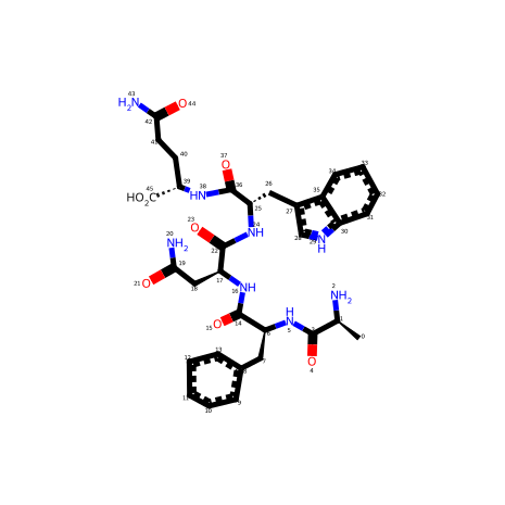 C[C@H](N)C(=O)N[C@@H](Cc1ccccc1)C(=O)N[C@@H](CC(N)=O)C(=O)N[C@@H](Cc1c[nH]c2ccccc12)C(=O)N[C@@H](CCC(N)=O)C(=O)O